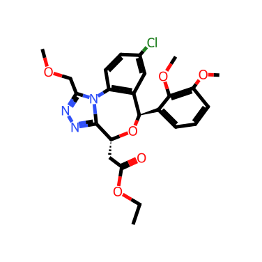 CCOC(=O)C[C@H]1O[C@H](c2cccc(OC)c2OC)c2cc(Cl)ccc2-n2c(COC)nnc21